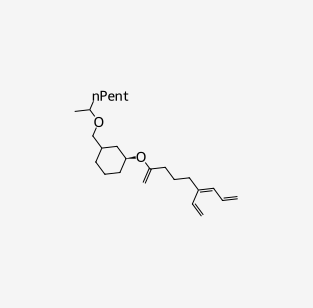 C=C/C=C(\C=C)CCCC(=C)O[C@H]1CCCC(COC(C)CCCCC)C1